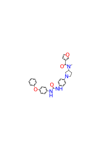 CN(C(=O)c1ccoc1)C1CCN(c2ccc(NC(=O)Nc3ccc(Oc4ccccc4)cc3)cc2)C1